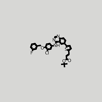 CC(C)(C)OC(=O)C=Cc1ccc(-c2ccc3ncnc(Nc4ccc(OCc5cccc(F)c5)c(Cl)c4)c3c2)s1